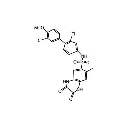 COc1ccc(-c2ccc(NS(=O)(=O)c3cc4[nH]c(=O)c(=O)[nH]c4cc3C)cc2Cl)cc1Cl